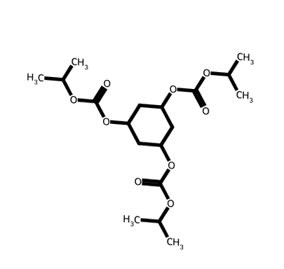 CC(C)OC(=O)OC1CC(OC(=O)OC(C)C)CC(OC(=O)OC(C)C)C1